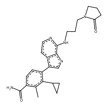 Cc1c(C(N)=O)ccc(-c2cnc3c(NCCCN4CCCC4=O)nccn23)c1C1CC1